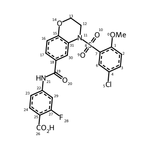 COc1ccc(Cl)cc1S(=O)(=O)N1CCOc2ccc(C(=O)Nc3ccc(C(=O)O)c(F)c3)cc21